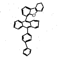 C1=Cc2oc3c(-c4c5ccccc5c(-c5ccc(-c6ccccc6)cc5)c5ccccc45)cccc3c2CC1